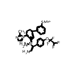 CSc1cccc(-c2ccc(-n3ccnc3C)c(N(N)/C(=C\N)c3ccc(OC(F)(F)C(F)F)cc3)c2)c1